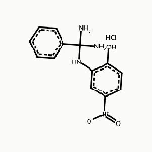 Cl.NC(N)(Nc1cc([N+](=O)[O-])ccc1O)c1ccccc1